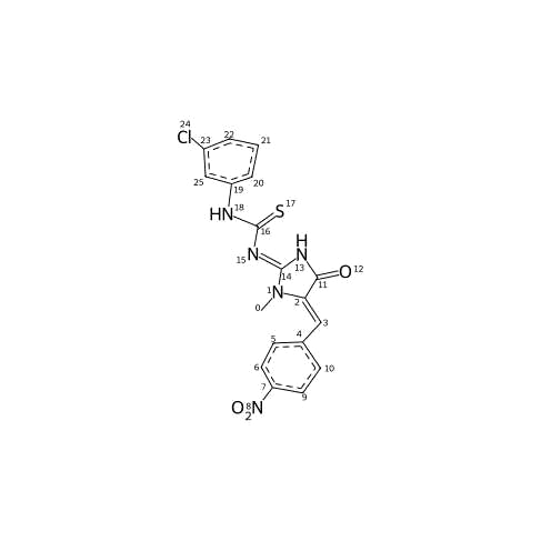 CN1/C(=C\c2ccc([N+](=O)[O-])cc2)C(=O)N/C1=N\C(=S)Nc1cccc(Cl)c1